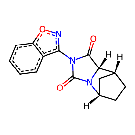 O=C1[C@@H]2[C@@H]3CC[C@@H](C3)N2C(=O)N1c1noc2ccccc12